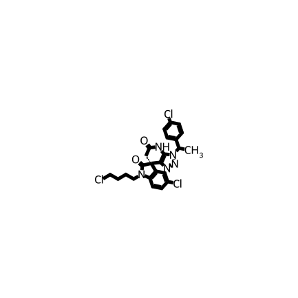 CC(c1ccc(Cl)cc1)n1nnc2c1NC(=O)C[C@]21C(=O)N(CCCCCl)c2ccc(Cl)cc21